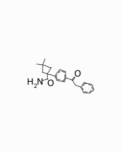 CC1(C)CC(C(N)=O)(c2ccc(C(=O)Cc3ccccc3)cc2)C1